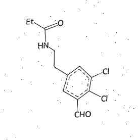 CCC(=O)NCCc1cc(Cl)c(Cl)c(C=O)c1